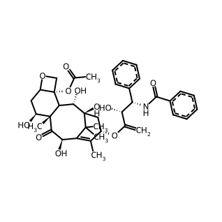 C=C(O[C@H]1C[C@@]2(O)[C@@H](O)C3[C@]4(OC(C)=O)COC4C[C@H](O)[C@@]3(C)C(=O)[C@H](O)C(=C1C)C2(C)C)[C@H](O)[C@@H](NC(=O)c1ccccc1)c1ccccc1